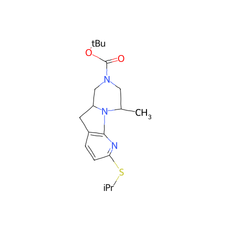 CC(C)Sc1ccc2c(n1)N1C(C)CN(C(=O)OC(C)(C)C)CC1C2